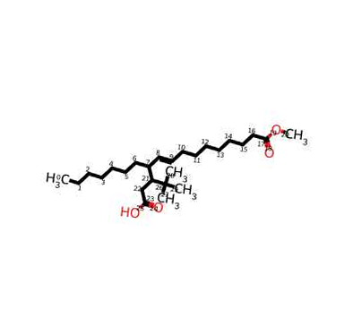 CCCCCCCC(/C=C/CCCCCCCC(=O)OC)C(CC(=O)O)C(C)(C)C